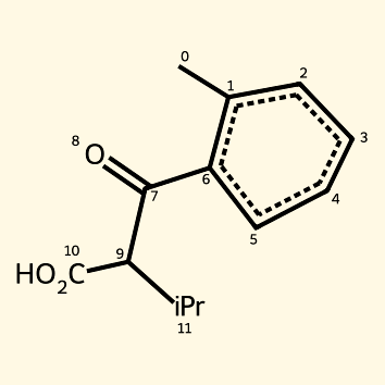 Cc1ccccc1C(=O)C(C(=O)O)C(C)C